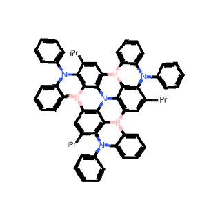 CC(C)c1cc2c3c4c1N(c1ccccc1)c1ccccc1B4c1cc(C(C)C)c4c5c1N3c1c(cc(C(C)C)c3c1B2c1ccccc1N3c1ccccc1)B5c1ccccc1N4c1ccccc1